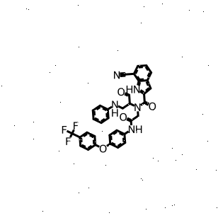 N#Cc1cccc2cc(C(=O)N(CC(=O)Nc3ccc(Oc4ccc(C(F)(F)F)cc4)cc3)C(C=O)CNc3ccccc3)[nH]c12